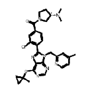 Cc1ccnc(Cn2c(-c3ccc(C(=O)N4CC[C@H](N(C)C)C4)cc3Cl)nc3c(OC4(C)CC4)ncnc32)c1